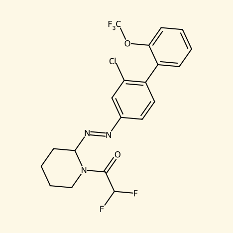 O=C(C(F)F)N1CCCCC1/N=N/c1ccc(-c2ccccc2OC(F)(F)F)c(Cl)c1